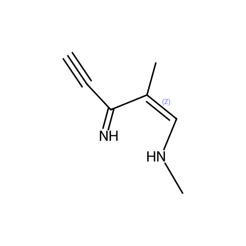 C#CC(=N)/C(C)=C\NC